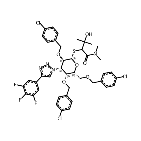 CN(C)C(=O)C(S[C@@H]1O[C@H](COCc2ccc(Cl)cc2)[C@H](OCc2ccc(Cl)cc2)[C@H](n2cc(-c3cc(F)c(F)c(F)c3)nn2)[C@H]1OCc1ccc(Cl)cc1)C(C)(C)O